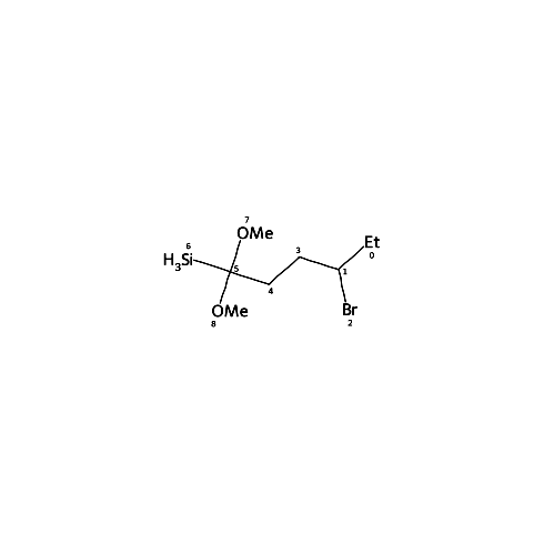 CCC(Br)CCC([SiH3])(OC)OC